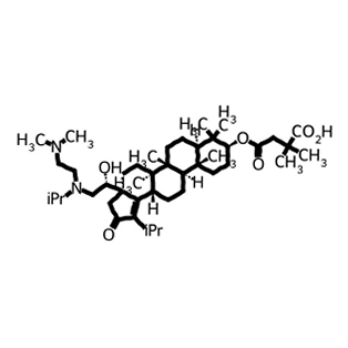 CC(C)C1=C2[C@H]3CC[C@@H]4[C@@]5(C)CC[C@H](OC(=O)CC(C)(C)C(=O)O)C(C)(C)[C@@H]5CC[C@@]4(C)[C@]3(C)CC[C@@]2([C@@H](O)CN(CCN(C)C)C(C)C)CC1=O